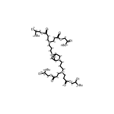 CCCCC(CC)COC(=O)CCN(CCCN1CC2CC1CN2CCCN(CCC(=O)OCC(CC)CCCC)CCC(=O)OCC(CC)CCCC)CCC(=O)OCC(CC)CCCC